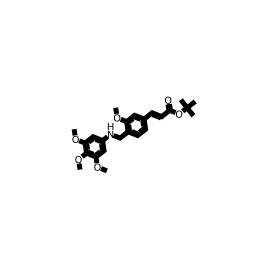 COc1cc(C=CC(=O)OC(C)(C)C)ccc1CNc1cc(OC)c(OC)c(OC)c1